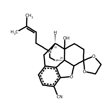 CC(C)=CCN1CC[C@@]23c4c5ccc(C#N)c4OC2C2(CCC3(O)[C@@H]1C5)OCCO2